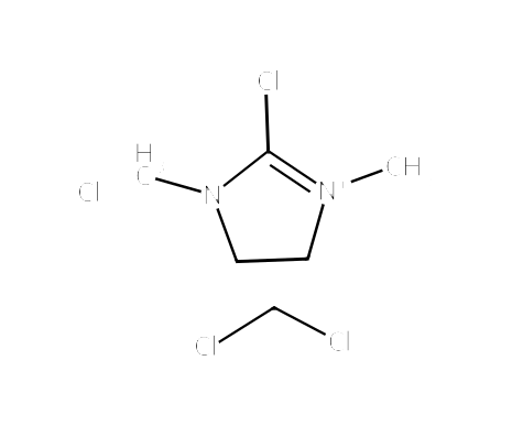 CN1CC[N+](C)=C1Cl.ClCCl.[Cl-]